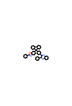 c1ccc(-c2nc3ccc(C4(c5ccc(-c6nc7ccccc7nc6-c6ccccc6)cc5)c5ccccc5-c5ccccc54)cc3o2)cc1